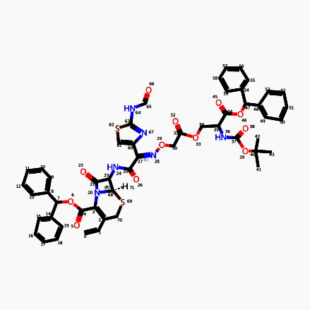 C=CC1=C(C(=O)OC(c2ccccc2)c2ccccc2)N2C(=O)C(NC(=O)/C(=N/OCC(=O)OCC(NC(=O)OC(C)(C)C)C(=O)OC(c3ccccc3)c3ccccc3)c3csc(NC=O)n3)[C@H]2SC1